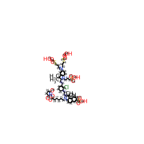 CC1(C)C(/C=C/C2=C(Cl)C(=C/C=C3/N(CCCCCC(=O)ON4C(=O)CCC4=O)c4ccc5cc(S(=O)(=O)O)ccc5c4C3(C)C)/CCC2)=[N+](CCCS(=O)(=O)O)c2ccc(N(CCCSOOO)CCCSOOO)cc21